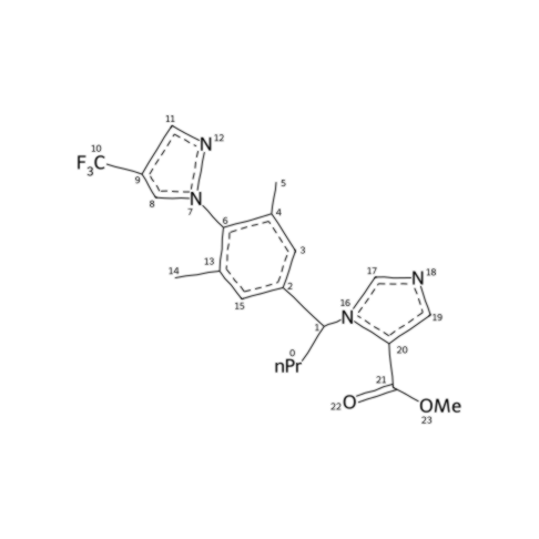 CCCC(c1cc(C)c(-n2cc(C(F)(F)F)cn2)c(C)c1)n1cncc1C(=O)OC